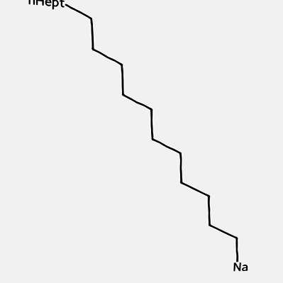 CCCCCCCCCCCCCCCCC[CH2][Na]